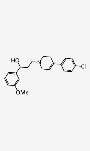 COc1cccc(C(O)CCN2CC=C(c3ccc(Cl)cc3)CC2)c1